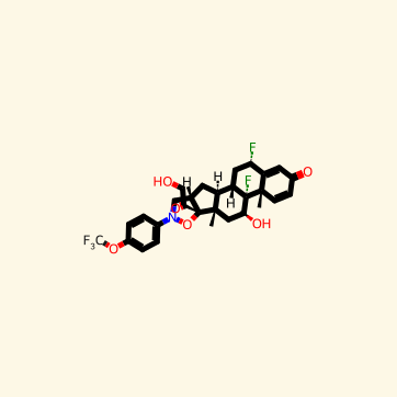 C[C@]12C=CC(=O)C=C1[C@@H](F)C[C@H]1[C@@H]3C[C@H]4CN(c5ccc(OC(F)(F)F)cc5)O[C@@]4(C(=O)CO)[C@@]3(C)C[C@H](O)[C@@]12F